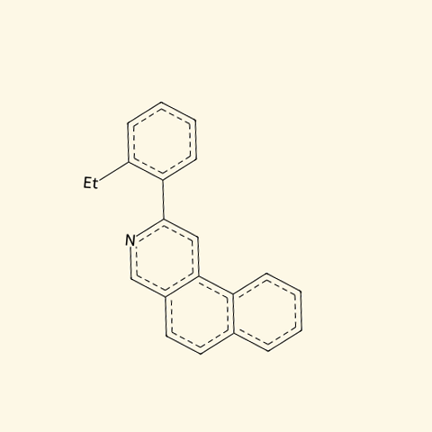 CCc1ccccc1-c1cc2c(ccc3ccccc32)cn1